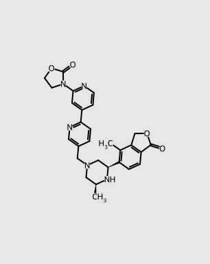 Cc1c([C@@H]2CN(Cc3ccc(-c4ccnc(N5CCOC5=O)c4)nc3)C[C@H](C)N2)ccc2c1COC2=O